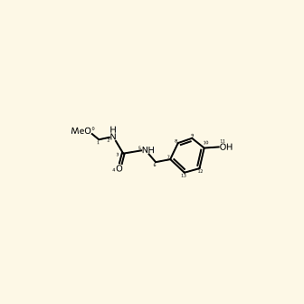 COCNC(=O)NCc1ccc(O)cc1